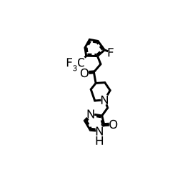 O=C(Cc1c(F)cccc1C(F)(F)F)C1CCN(Cc2ncc[nH]c2=O)CC1